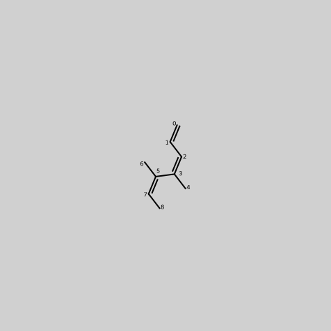 C=C/C=C(C)\C(C)=C/C